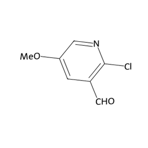 COc1cnc(Cl)c(C=O)c1